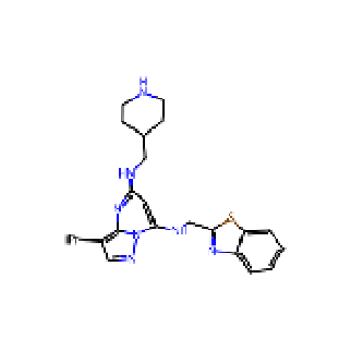 CC(C)c1cnn2c(NCc3nc4ccccc4s3)cc(NCC3CCNCC3)nc12